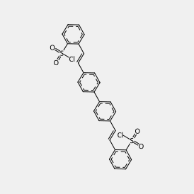 O=S(=O)(Cl)c1ccccc1/C=C/c1ccc(-c2ccc(/C=C/c3ccccc3S(=O)(=O)Cl)cc2)cc1